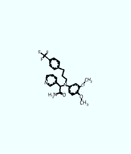 COc1ccc(N(CCCc2ccc(C(F)(F)F)cc2)C(C(N)=O)c2cccnc2)cc1OC